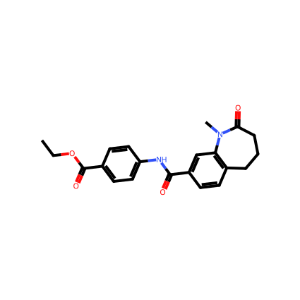 CCOC(=O)c1ccc(NC(=O)c2ccc3c(c2)N(C)C(=O)CCC3)cc1